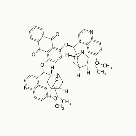 CC[C@@H]1CN2CC[C@H]1C[C@@H]2[C@@H](Oc1ccc(O[C@@H](c2ccnc3ccc(OC)cc23)[C@H]2C[C@@H]3CCN2C[C@H]3CC)c2c1C(=O)c1ccccc1C2=O)c1ccnc2ccc(OC)cc12